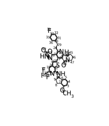 COc1cccc2c1CC[C@H]2Nc1nc(C(F)(F)F)cc2cc(-c3c4c(nc(CCc5ccc(F)cc5)c3-c3n[nH]c(=O)o3)[C@@H]3CCCN3C4=O)sc12